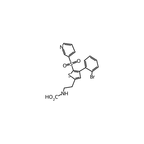 O=C(O)NCCc1cc(-c2ccccc2Br)c(S(=O)(=O)c2cccnc2)s1